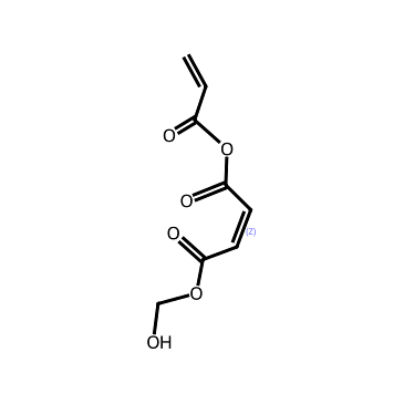 C=CC(=O)OC(=O)/C=C\C(=O)OCO